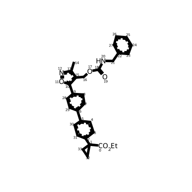 CCOC(=O)C1(c2ccc(-c3ccc(-c4onc(C)c4COC(=O)NCc4ccccc4)cc3)cc2)CC1